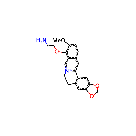 COc1ccc2cc3[n+](cc2c1OCCN)CCc1cc2c(cc1-3)OCO2